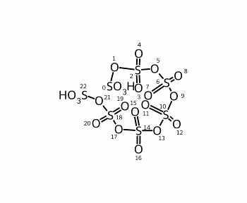 O=S(=O)(O)OS(=O)(=O)OS(=O)(=O)OS(=O)(=O)OS(=O)(=O)OS(=O)(=O)OS(=O)(=O)O